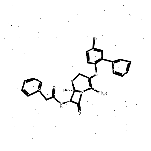 O=C(Cc1ccccc1)N[C@@H]1C(=O)N2C(C(=O)O)=C(Sc3ccc(Br)cc3-c3ccccc3)CS[C@H]12